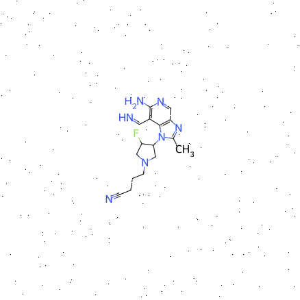 Cc1nc2cnc(N)c(C=N)c2n1C1CN(CCCC#N)CC1F